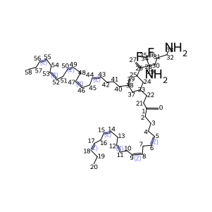 C=C(CCC/C=C\C/C=C\C/C=C\C/C=C\C/C=C\CC)CCC(CCC(=C)C(N)(CCCN)C(F)F)CC(=C)CCC/C=C\C/C=C\C/C=C\C/C=C\C/C=C\CC